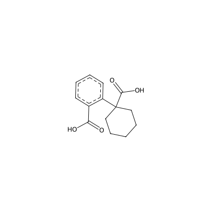 O=C(O)c1ccccc1C1(C(=O)O)CCCCC1